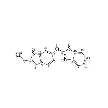 ClCc1cc2ccc(Oc3nc4ccccc4s3)cc2s1